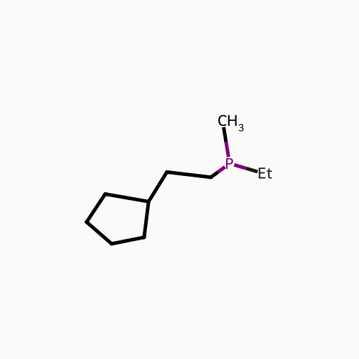 CCP(C)CCC1CCCC1